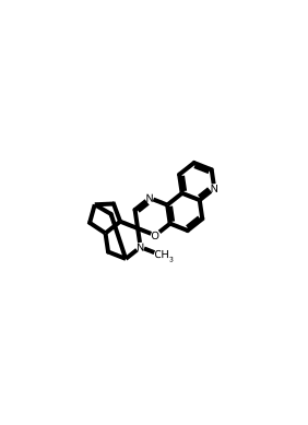 CN1C2CC3CC(C2)C(C3)C12C=Nc1c(ccc3ncccc13)O2